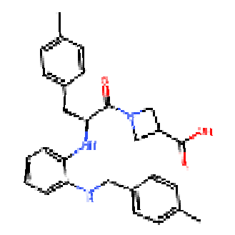 Cc1ccc(CNc2ccccc2N[C@@H](Cc2ccc(C)cc2)C(=O)N2CC(C(=O)O)C2)cc1